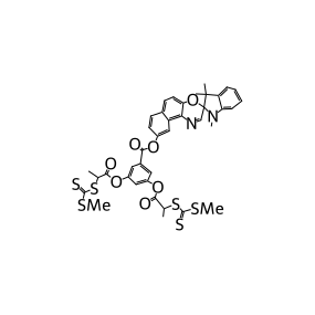 CSC(=S)SC(C)C(=O)Oc1cc(OC(=O)C(C)SC(=S)SC)cc(C(=O)Oc2ccc3ccc4c(c3c2)N=CC2(O4)N(C)c3ccccc3C2(C)C)c1